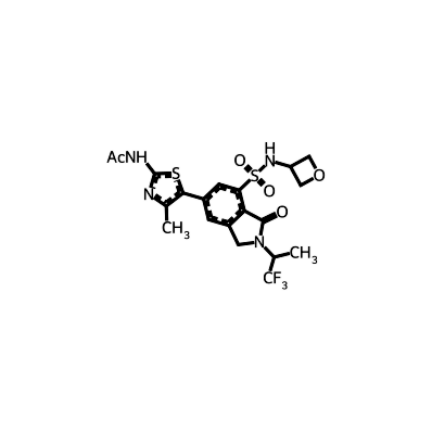 CC(=O)Nc1nc(C)c(-c2cc3c(c(S(=O)(=O)NC4COC4)c2)C(=O)N(C(C)C(F)(F)F)C3)s1